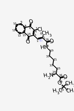 C/C(=C\C1=C(Cl)C(=O)c2ccccc2C1=O)C(=O)NCCCCCC(N)C(=O)OC(C)(C)C